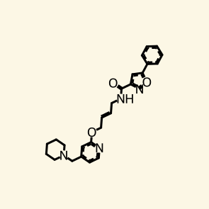 O=C(NCC=CCOc1cc(CN2CCCCC2)ccn1)c1cc(-c2ccccc2)on1